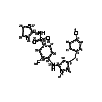 Cn1nc(Cc2ccc(Cl)cc2)cc1Nc1ccc(S(=O)(=O)Nc2nccs2)cc1F